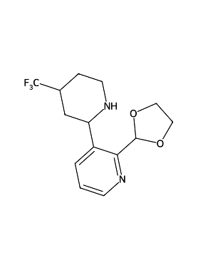 FC(F)(F)C1CCNC(c2cccnc2C2OCCO2)C1